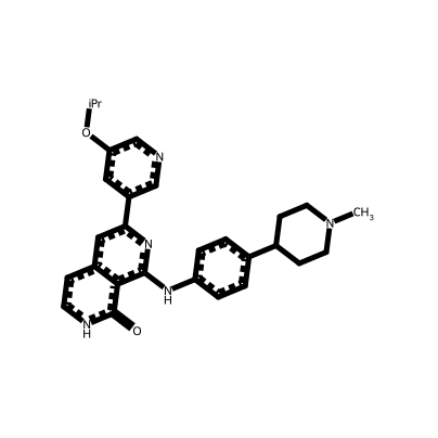 CC(C)Oc1cncc(-c2cc3cc[nH]c(=O)c3c(Nc3ccc(C4CCN(C)CC4)cc3)n2)c1